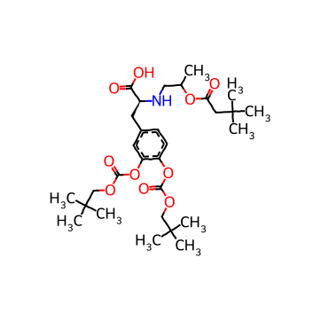 CC(CN[C@@H](Cc1ccc(OC(=O)OCC(C)(C)C)c(OC(=O)OCC(C)(C)C)c1)C(=O)O)OC(=O)CC(C)(C)C